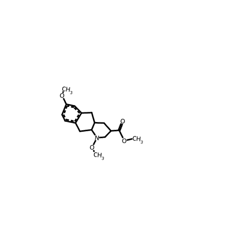 COC(=O)C1CC2Cc3cc(OC)ccc3CC2N(OC)C1